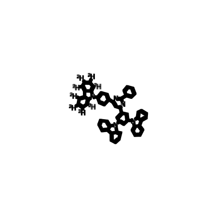 [2H]c1c([2H])c([2H])c2c(c1[2H])c1c([2H])c([2H])c([2H])c([2H])c1n2-c1ccc(-c2cc(-c3cc(-n4c5ccccc5c5ccccc54)cc(-n4c5ccccc5c5ccccc54)c3)nc(-c3ccccc3)n2)cc1